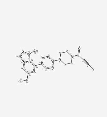 CC#CC(=O)N1CCN(c2ccc(-c3cc(OCC)cn4ncc(C#N)c34)cn2)CC1